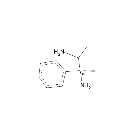 [CH2][C@](N)(c1ccccc1)C(C)N